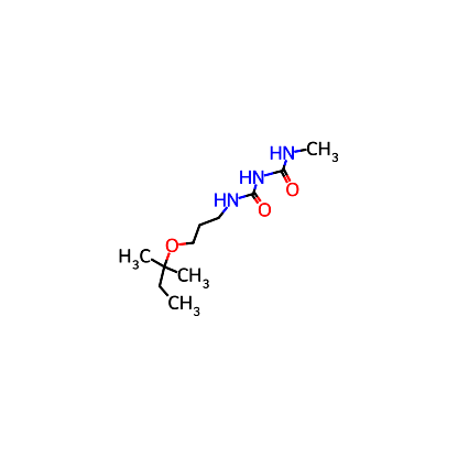 CCC(C)(C)OCCCNC(=O)NC(=O)NC